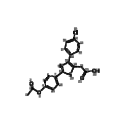 CC(=O)Oc1ccc(-c2nc(-c3ccc(Cl)cc3)c(CC(=O)O)s2)cc1